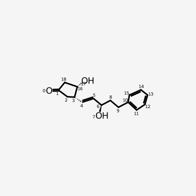 O=C1C[C@@H](/C=C/[C@H](O)CCc2ccccc2)[C@@H](O)C1